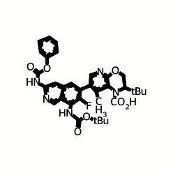 Cc1c(-c2cc3cc(NC(=O)Oc4ccccc4)ncc3c(NC(=O)OC(C)(C)C)c2F)cnc2c1N(C(=O)O)C(C(C)(C)C)CO2